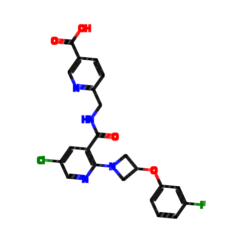 O=C(O)c1ccc(CNC(=O)c2cc(Cl)cnc2N2CC(Oc3cccc(F)c3)C2)nc1